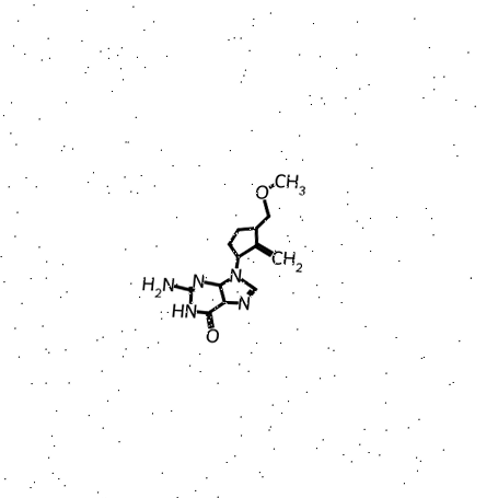 C=C1C(COC)CCC1N1C=NC2C(=O)NC(N)=NC21